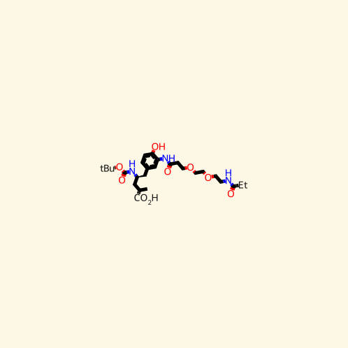 CCC(=O)NCCOCCOCCC(=O)Nc1cc(C[C@@H](CC(C)C(=O)O)NC(=O)OC(C)(C)C)ccc1O